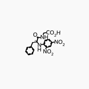 O=C(O)CNC(=O)[C@H](Cc1ccccc1)Nc1ccc([N+](=O)[O-])cc1[N+](=O)[O-]